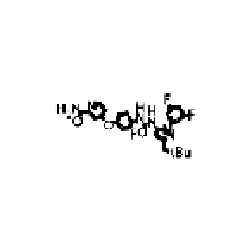 CC(C)(C)Cc1cc(NC(=O)Nc2ccc(Oc3ccnc(C(N)=O)c3)cc2F)n(-c2cc(F)cc(F)c2)n1